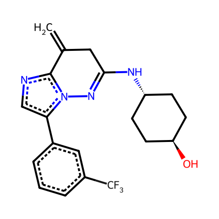 C=C1CC(N[C@H]2CC[C@H](O)CC2)=Nn2c(-c3cccc(C(F)(F)F)c3)cnc21